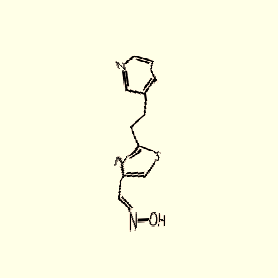 O/N=C\c1csc(CCc2cccnc2)n1